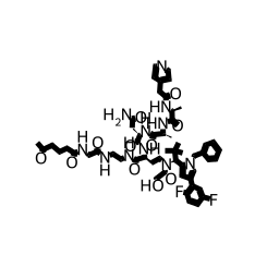 CC(=O)CCCC(=O)NCC(=O)NCCNC(=O)[C@H](CCN(C(=O)CO)[C@@H](c1cc(-c2cc(F)ccc2F)cn1Cc1ccccc1)C(C)(C)C)NC(=O)[C@H](CC(N)=O)NC(=O)[C@@H](C)NC(=O)[C@H](C)NC(=O)Cc1ccncc1